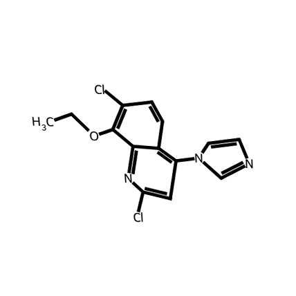 CCOc1c(Cl)ccc2c(-n3ccnc3)cc(Cl)nc12